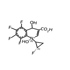 O=C(O)C1=C[N@@+](O)(C2C[C@@H]2F)c2c(F)c(F)c(F)c(F)c2C1O